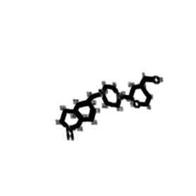 O=CC1CCOC(N2CCN(Cc3ccc4c(c3)CCNC4)CC2)C1